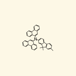 Cc1ccc2c(c1)C(C)(C)c1cc(N(c3cc4ccccc4c4ccccc34)c3cc4ccccc4c4ccccc34)ccc1-2